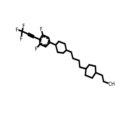 CCCC1CCC(CCCCC2CCC(c3cc(F)c(C#CC(F)(F)F)c(F)c3)CC2)CC1